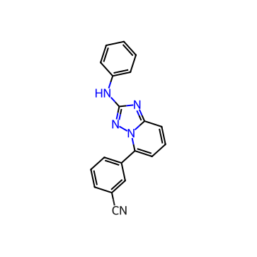 N#Cc1cccc(-c2cccc3nc(Nc4ccccc4)nn23)c1